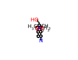 CC(C)c1cc(CCCO)cc(C(C)C)c1N1C(=O)c2ccc3c4cccc5c(C#N)ccc(c6ccc(c2c36)C1=O)c54